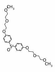 COCCOCCOc1ccc([S+]([O-])c2ccc(OCCOCCOC)cc2)cc1